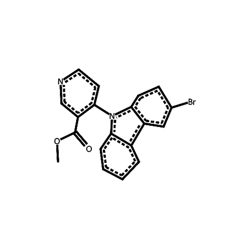 COC(=O)c1cnccc1-n1c2ccccc2c2cc(Br)ccc21